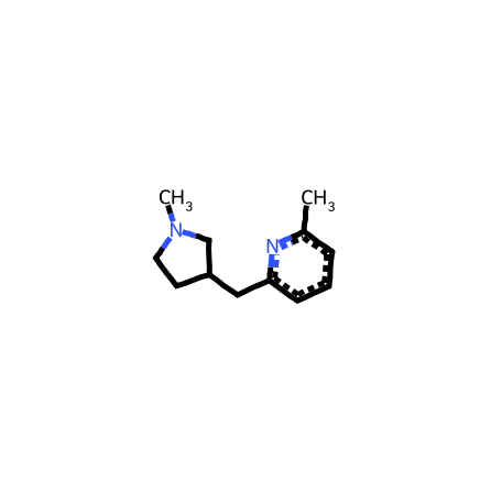 Cc1cccc(CC2CCN(C)C2)n1